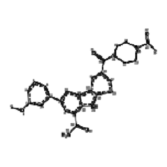 COc1cccc(-c2cc(C(N)=O)c3[nH]c4ccc(C(=O)N5CCN(C(C)=O)CC5)cc4c3c2)c1